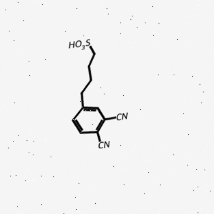 N#Cc1ccc(CCCCS(=O)(=O)O)cc1C#N